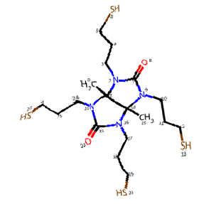 CC12N(CCCS)C(=O)N(CCCS)C1(C)N(CCCS)C(=O)N2CCCS